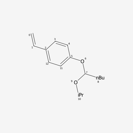 C=Cc1ccc(OC(CCCC)OC(C)C)cc1